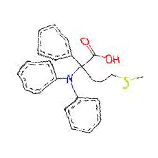 CSCCC(C(=O)O)(c1ccccc1)N(c1ccccc1)c1ccccc1